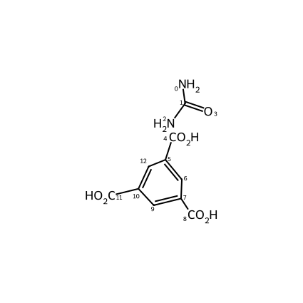 NC(N)=O.O=C(O)c1cc(C(=O)O)cc(C(=O)O)c1